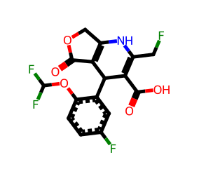 O=C(O)C1=C(CF)NC2=C(C(=O)OC2)C1c1cc(F)ccc1OC(F)F